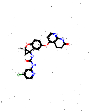 O=C1CCc2c(Oc3ccc4c(c3)C3(NC(=O)Nc5cc(Cl)ccn5)C[C@@H]3O4)ccnc2N1